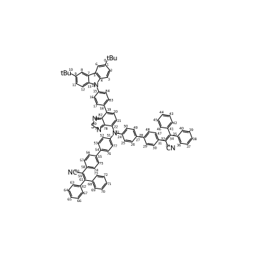 CC(C)(C)c1ccc2c(c1)c1cc(C(C)(C)C)ccc1n2-c1ccc(-c2ccc(N(c3ccc(-c4ccc(C(C#N)=C(c5ccccc5)c5ccccc5)cc4)cc3)c3ccc(-c4ccc(C(C#N)=C(c5ccccc5)c5ccccc5)cc4)cc3)c3nsnc23)cc1